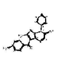 Cc1ccc(C(=O)c2c(N)sc3c2ccc(=O)n3-c2ccccc2)cc1